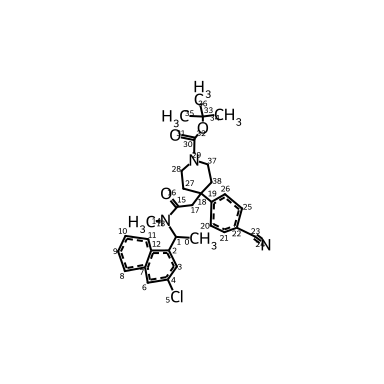 CC(c1cc(Cl)cc2ccccc12)N(C)C(=O)CC1(c2ccc(C#N)cc2)CCN(C(=O)OC(C)(C)C)CC1